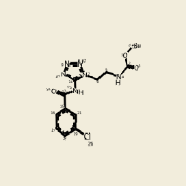 CC(C)(C)OC(=O)NCCn1nnnc1NC(=O)c1cccc(Cl)c1